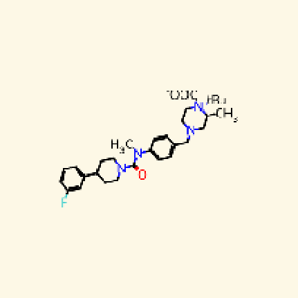 C[C@H]1CN(Cc2ccc(N(C)C(=O)N3CCC(c4cccc(F)c4)CC3)cc2)CC[N+]1(C(=O)[O-])C(C)(C)C